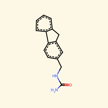 NC(=O)NCc1ccc2c(c1)Cc1ccccc1-2